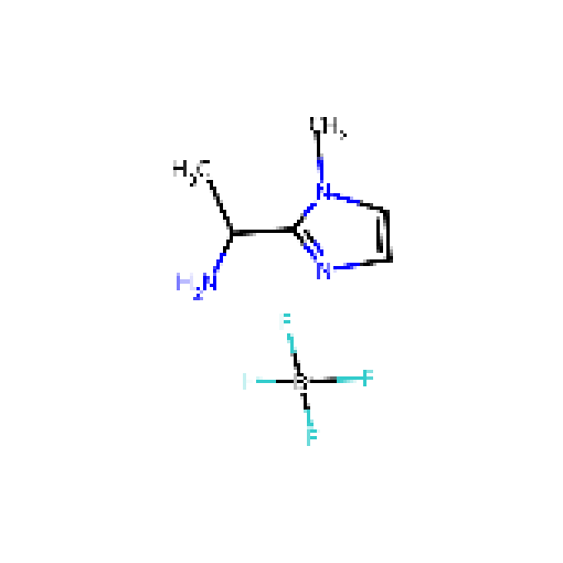 CC(N)c1nccn1C.F[B-](F)(F)F